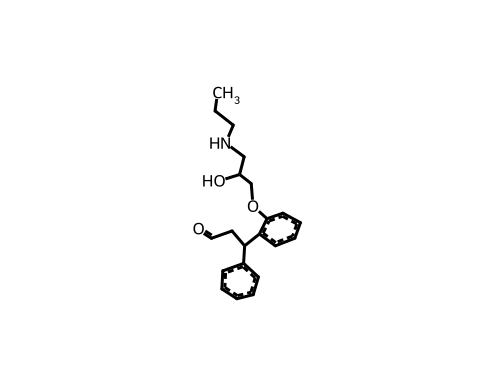 CCCNCC(O)COc1ccccc1C(CC=O)c1ccccc1